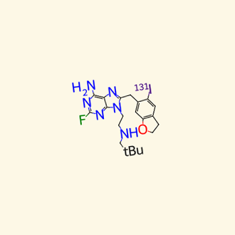 CC(C)(C)CNCCn1c(Cc2cc3c(cc2[131I])CCO3)nc2c(N)nc(F)nc21